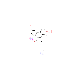 CN(C)CCOc1ccc(-c2c(-c3ccc(O)cc3)cc(CO)cc2[N+](=O)[O-])cc1